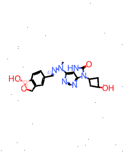 CN(/N=C/c1ccc2c(c1)COB2O)c1ncnc2c1[nH]c(=O)n2C1CC(O)C1